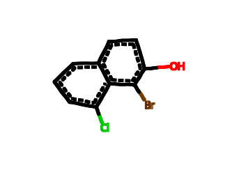 Oc1ccc2cccc(Cl)c2c1Br